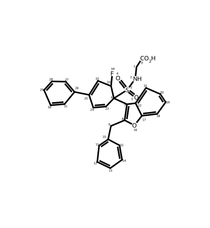 O=C(O)CNS(=O)(=O)C1(c2c(Cc3ccccc3)oc3ccccc23)C=CC(c2ccccc2)=CC1F